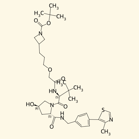 Cc1ncsc1-c1ccc(CNC(=O)[C@@H]2C[C@@H](O)CN2C(=O)[C@@H](NC(=O)COCCCC2CN(C(=O)OC(C)(C)C)C2)C(C)(C)C)cc1